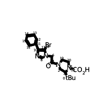 CC(C)(C)C1CN(C(=O)Cn2cnc(-c3ccccc3)c2Br)CCN1C(=O)O